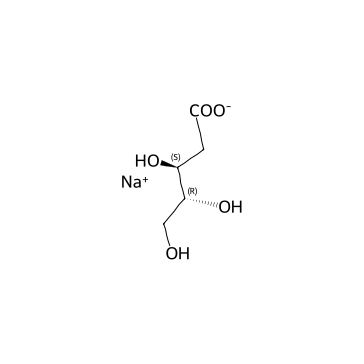 O=C([O-])C[C@H](O)[C@H](O)CO.[Na+]